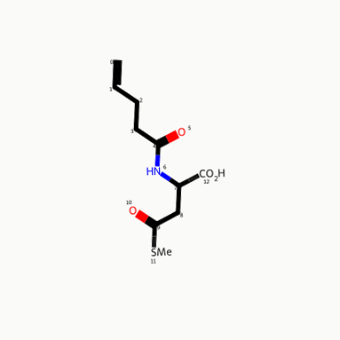 C=CCCC(=O)NC(CC(=O)SC)C(=O)O